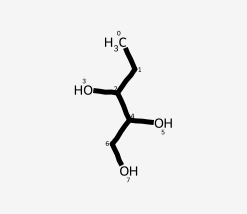 CC[C](O)C(O)CO